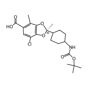 Cc1c(C(=O)O)cc(Cl)c2c1O[C@@](C)(C1CCC(NC(=O)OC(C)(C)C)CC1)O2